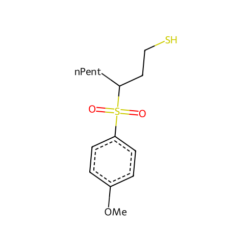 CCCCCC(CCS)S(=O)(=O)c1ccc(OC)cc1